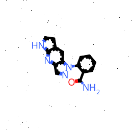 NC(=O)c1ccccc1-n1ncc2nc3[nH]ccc3cc21